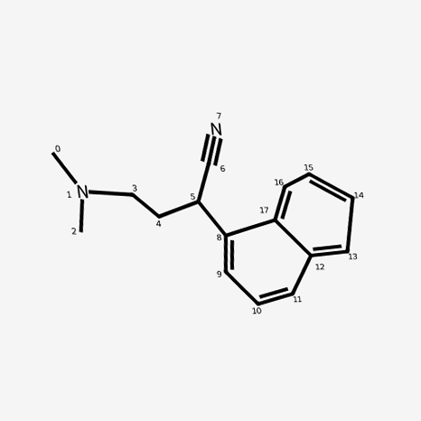 CN(C)CCC(C#N)c1cccc2ccccc12